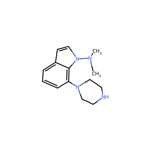 CN(C)n1ccc2cccc(N3CCNCC3)c21